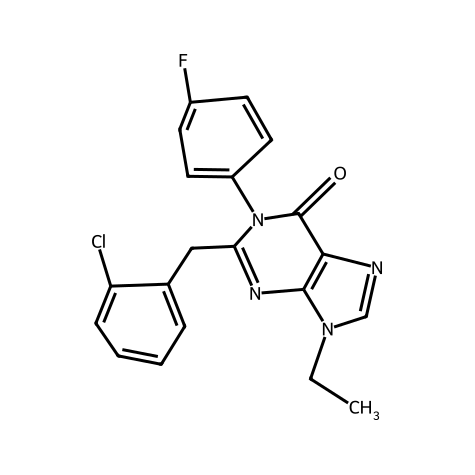 CCn1cnc2c(=O)n(-c3ccc(F)cc3)c(Cc3ccccc3Cl)nc21